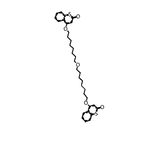 O=c1cc(OCCCCCCCCOCCCCCCCCOc2cc(=O)sc3ccccc23)c2ccccc2s1